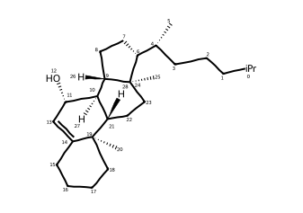 CC(C)CCC[C@@H](C)[C@H]1CC[C@H]2[C@@H]3[C@@H](O)C=C4CCCC[C@]4(C)[C@H]3CC[C@]12C